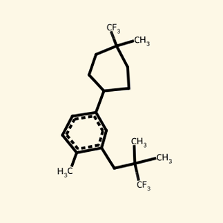 Cc1ccc(C2CCC(C)(C(F)(F)F)CC2)cc1CC(C)(C)C(F)(F)F